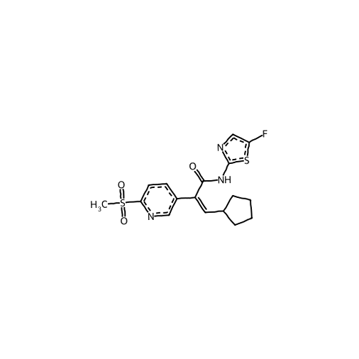 CS(=O)(=O)c1ccc(C(=CC2CCCC2)C(=O)Nc2ncc(F)s2)cn1